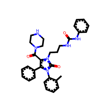 Cc1ccccc1-n1c(-c2ccccc2)c(C(=O)N2CCNCC2)n(CCCNC(=O)Nc2ccccc2)c1=O